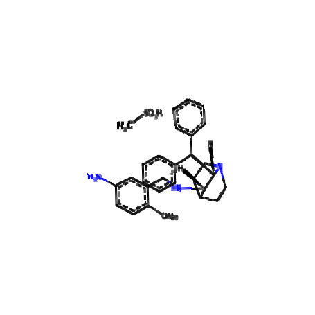 COc1ccc(N)cc1CN[C@H]1C2CCN(CC2)[C@H]1C(c1ccccc1)c1ccccc1.CS(=O)(=O)O